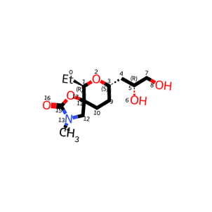 CC[C@H]1O[C@H](C[C@@H](O)CO)CCC12CN(C)C(=O)O2